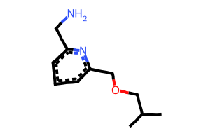 CC(C)COCc1cccc(CN)n1